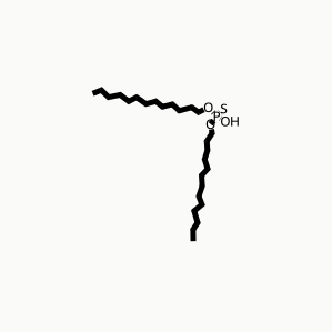 CCCCCCCCCCCCCOP(O)(=S)OCCCCCCCCCCCCC